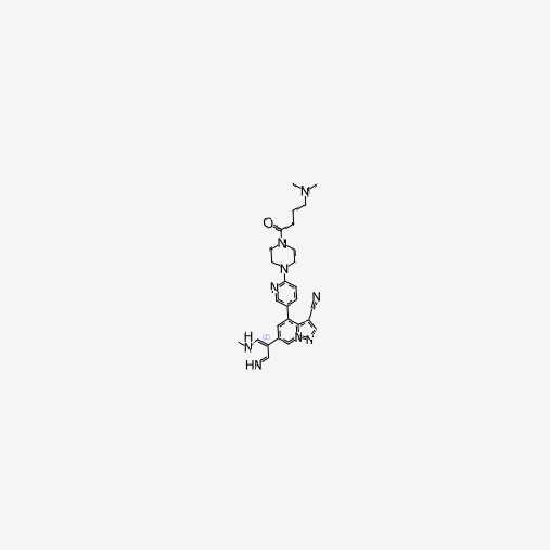 CN/C=C(\C=N)c1cc(-c2ccc(N3CCN(C(=O)CCCN(C)C)CC3)nc2)c2c(C#N)cnn2c1